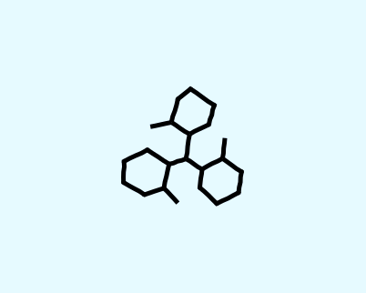 CC1CCCCC1C(C1CCCCC1C)C1CCCCC1C